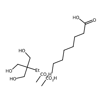 CC(=O)O.CC(=O)O.CCC(CO)(CO)CO.CCCCCCCC(=O)O